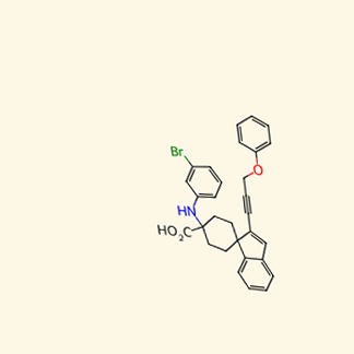 O=C(O)C1(Nc2cccc(Br)c2)CCC2(CC1)C(C#CCOc1ccccc1)=Cc1ccccc12